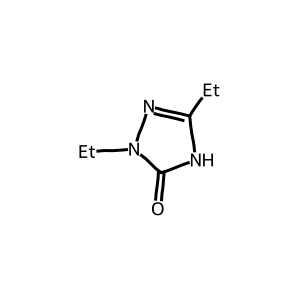 CCc1nn(CC)c(=O)[nH]1